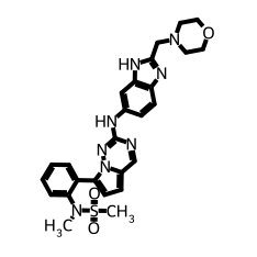 CN(c1ccccc1-c1ccc2cnc(Nc3ccc4nc(CN5CCOCC5)[nH]c4c3)nn12)S(C)(=O)=O